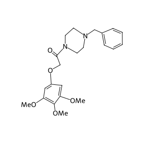 COc1cc(OCC(=O)N2CCN(Cc3ccccc3)CC2)cc(OC)c1OC